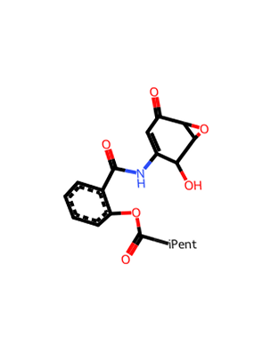 CCCC(C)C(=O)Oc1ccccc1C(=O)NC1=CC(=O)C2OC2C1O